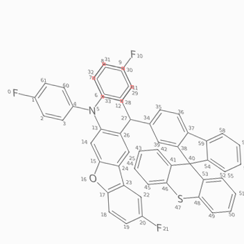 Fc1ccc(N(c2ccc(F)cc2)c2cc3oc4ccc(F)cc4c3cc2C(c2ccccc2)c2ccc3c(c2)C2(c4ccccc4Sc4ccccc42)c2ccccc2-3)cc1